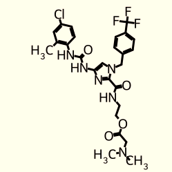 Cc1cc(Cl)ccc1NC(=O)Nc1cn(Cc2ccc(C(F)(F)F)cc2)c(C(=O)NCCOC(=O)CN(C)C)n1